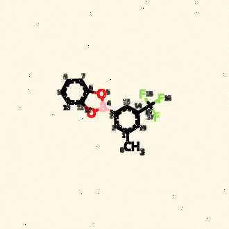 Cc1cc(B2Oc3ccccc3O2)cc(C(F)(F)F)c1